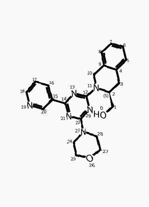 OC[C@@H]1Cc2ccccc2CN1c1nc(-c2cccnc2)nc(N2CCOCC2)n1